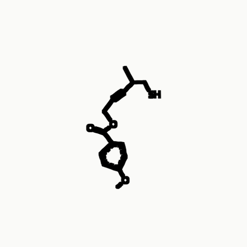 COc1ccc(C(=O)OCC#CC(C)CS)cc1